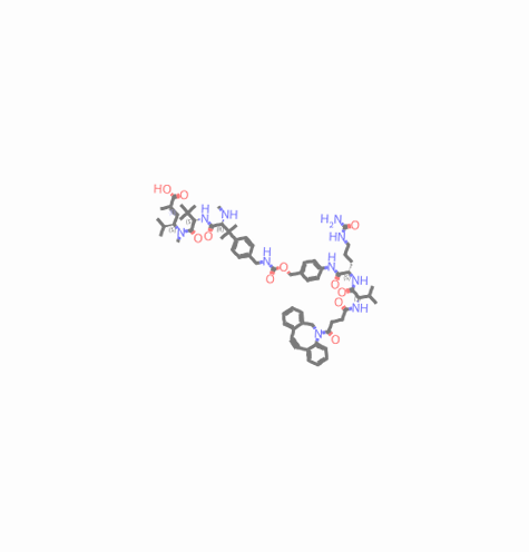 CN[C@@H](C(=O)N[C@H](C(=O)N(C)[C@H](/C=C(\C)C(=O)O)C(C)C)C(C)(C)C)C(C)(C)c1ccc(CNC(=O)OCc2ccc(NC(=O)[C@H](CCCNC(N)=O)NC(=O)[C@@H](NC(=O)CCC(=O)N3Cc4ccccc4C#Cc4ccccc43)C(C)C)cc2)cc1